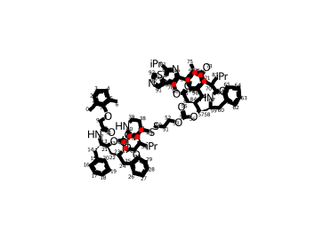 Cc1cccc(C)c1OCC(=O)N[C@@H](Cc1ccccc1)[C@H](C[C@H](Cc1ccccc1)NC(=O)C(C(C)C)N1CCCNC1=O)OC(=O)OCCSSCCOC(=O)O[C@@H](C[C@H](Cc1ccccc1)NC(=O)C(CC(=O)N(C)Cc1csc(C(C)C)n1)C(C)C)[C@@H](CC(=O)OCc1cncs1)Cc1ccccc1